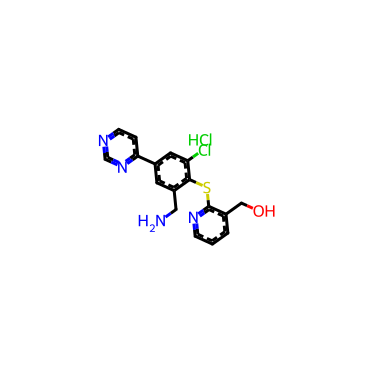 Cl.NCc1cc(-c2ccncn2)cc(Cl)c1Sc1ncccc1CO